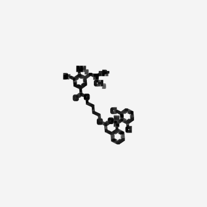 CCCN(C)Cc1cc(C(=O)OCCCCOC(=O)Cc2ccccc2Nc2c(Cl)cccc2Cl)cc(Br)c1N